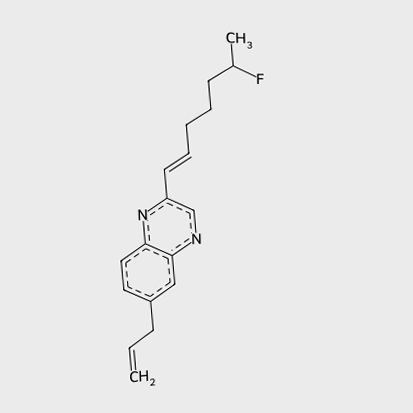 C=CCc1ccc2nc(/C=C/CCCC(C)F)cnc2c1